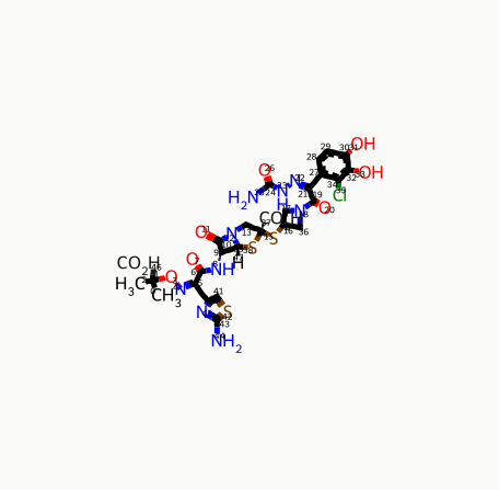 CC(C)(O/N=C(\C(=O)N[C@@H]1C(=O)N2C[C@](SC3CN(C(=O)C(=NNC(N)=O)c4ccc(O)c(O)c4Cl)C3)(C(=O)O)S[C@H]12)c1csc(N)n1)C(=O)O